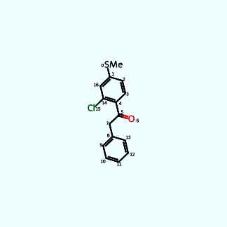 CSc1ccc(C(=O)Cc2ccccc2)c(Cl)c1